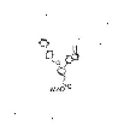 COC(=O)CCc1ccc(OCc2ccc(-c3ccccc3)cc2)c(-c2ccc3[nH]ccc3c2)c1